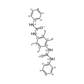 Cc1c(C)c(NC(=O)Nc2ccccc2)c(C)c(C)c1NC(=O)Nc1ccccc1